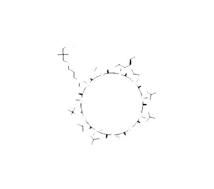 C/C=C/C[C@@H](C)C[C@H]1C(=O)N[C@@H](CC)C(=O)N(C)[C@H](COCCCNCC(C)(C)CO)C(=O)N(C)[C@@H](CC(C)(C)O)C(=O)N[C@H](C(C)C)C(=O)N(C)[C@H](CC(C)C)C(=O)N[C@H](C)C(=O)N[C@@H](C)C(=O)N(C)[C@@H](CC(C)C)C(=O)N(C)[C@@H](CC(C)C)C(=O)N(C)[C@@H](C(C)C)C(=O)N1C